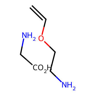 C=COCCN.NCC(=O)O